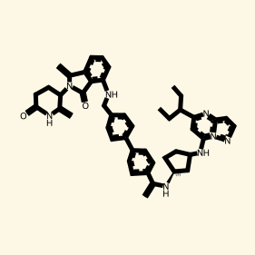 C=C(N[C@H]1CCC(Nc2cc(C(CC)CC)nc3ccnn23)C1)c1ccc(-c2ccc(CNc3cccc4c3C(=O)N(C3CCC(=O)NC3=C)C4=C)cc2)cc1